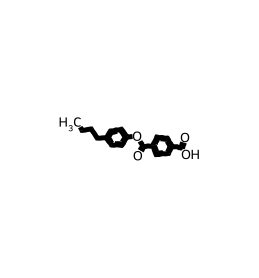 CCCCc1ccc(OC(=O)c2ccc(C(=O)O)cc2)cc1